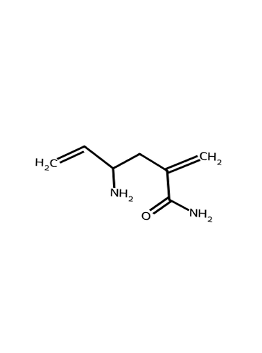 C=CC(N)CC(=C)C(N)=O